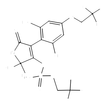 Cc1cc(OCC(F)(F)F)cc(C)c1C1=C(OP(C)(=S)OCC(F)(F)F)C(C)(C)NC1=O